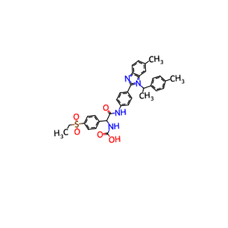 CCS(=O)(=O)c1ccc(C(NC(=O)O)C(=O)Nc2ccc(-c3nc4ccc(C)cc4n3C(C)c3ccc(C)cc3)cc2)cc1